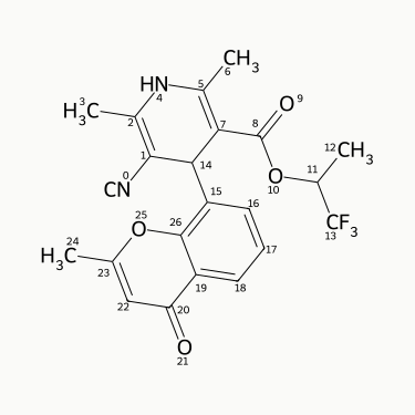 [C-]#[N+]C1=C(C)NC(C)=C(C(=O)OC(C)C(F)(F)F)C1c1cccc2c(=O)cc(C)oc12